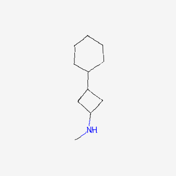 CNC1CC(C2CCCCC2)C1